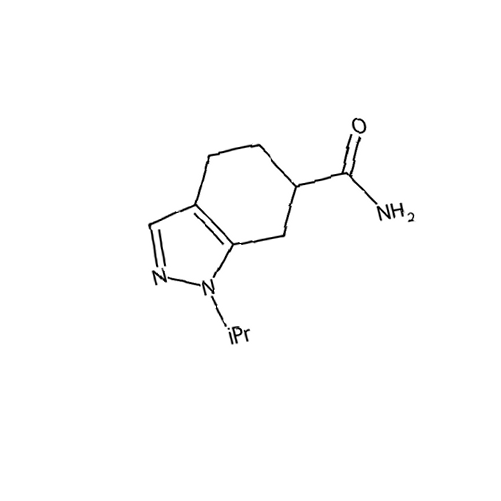 CC(C)n1ncc2c1CC(C(N)=O)CC2